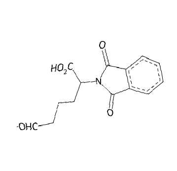 O=[C]CCCC(C(=O)O)N1C(=O)c2ccccc2C1=O